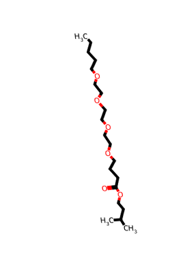 CCCCCOCCOCCOCCOCCCC(=O)OCCC(C)C